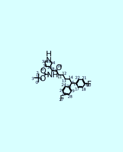 CC(C)(C)OC(=O)NC(C(=O)CCCCC(c1ccc(F)cc1)c1ccc(F)cc1)C1CCNC1